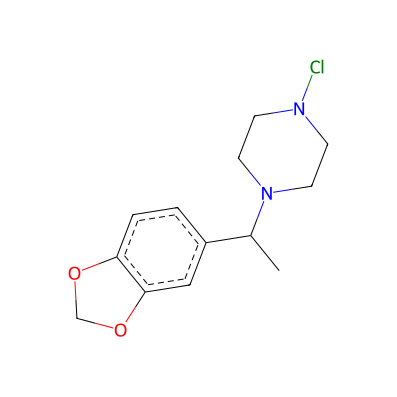 CC(c1ccc2c(c1)OCO2)N1CCN(Cl)CC1